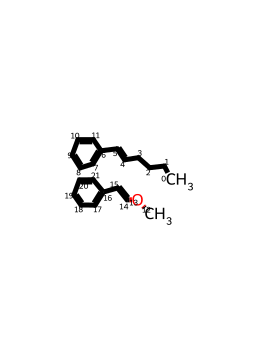 CCCCC=Cc1ccccc1.COC=Cc1ccccc1